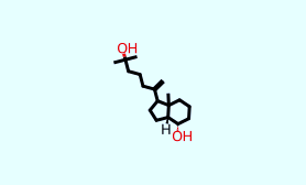 C=C(CCCC(C)(C)O)C1CC[C@H]2[C@@H](O)CCCC12C